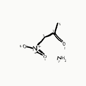 CC(=O)C[N+](=O)[O-].N